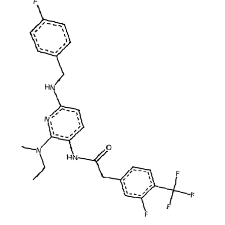 CCN(C)c1nc(NCc2ccc(F)cc2)ccc1NC(=O)Cc1ccc(C(F)(F)F)c(F)c1